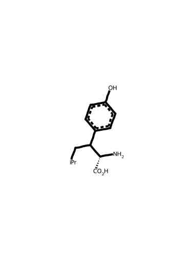 CC(C)CC(c1ccc(O)cc1)[C@H](N)C(=O)O